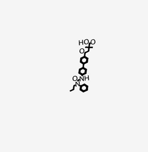 CCCN(C(=O)Nc1ccc(-c2ccc(C(=O)CC(C)(C)C(=O)O)cc2)cc1)c1ccccc1